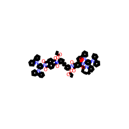 C=CC(=O)Oc1ccc(C(C)(C)c2ccc(OC(=O)C=C)c(-n3c(=O)c4cc5c(=O)n(-c6c(N7C/C=C\C=C/C(=C)c8ccccc87)cc(-n7c8ccccc8c8ccccc87)cc6-n6c7ccccc7c7ccccc76)c(=O)c5cc4c3=O)c2)cc1N1C(=O)c2ccc3c4c(ccc(c24)C1=O)C(=O)N(c1cc(-n2c4ccccc4c4ccccc42)cc(-n2c4ccccc4c4ccccc42)c1)C3=O